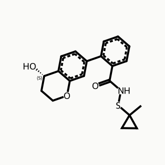 CC1(SNC(=O)c2ccccc2-c2ccc3c(c2)OCC[C@@H]3O)CC1